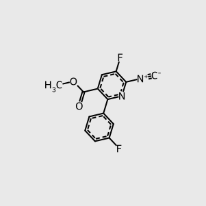 [C-]#[N+]c1nc(-c2cccc(F)c2)c(C(=O)OC)cc1F